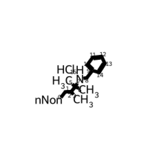 CCCCCCCCCCC(C)C(C)(C)NCc1ccccc1.Cl